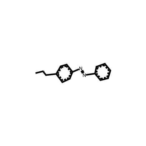 C[CH]Cc1ccc(N=Nc2ccccc2)cc1